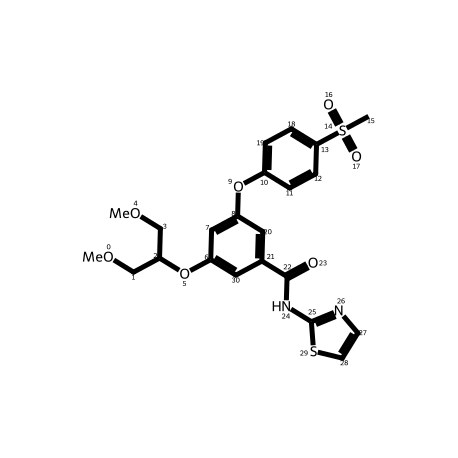 COCC(COC)Oc1cc(Oc2ccc(S(C)(=O)=O)cc2)cc(C(=O)Nc2nccs2)c1